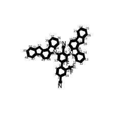 N#Cc1ccc(-c2cc(-n3c4ccccc4c4c5c(ccc43)-c3ccccc3C5)c(C#N)c(-n3c4ccccc4c4c5c(ccc43)-c3ccccc3C5)c2)c(C(F)(F)F)c1